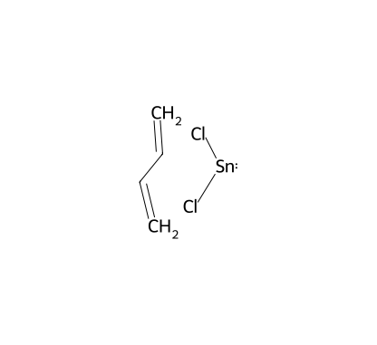 C=CC=C.[Cl][Sn][Cl]